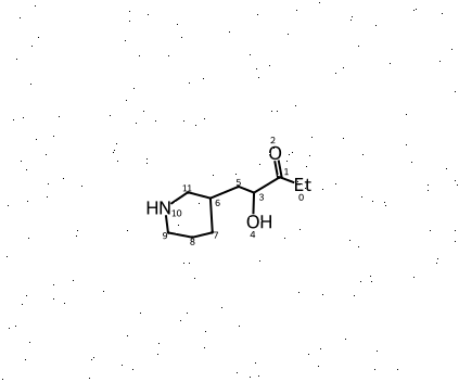 CCC(=O)C(O)CC1CCCNC1